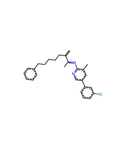 C=C(CCCCCc1ccccc1)/C(C)=N/c1ncc(-c2cccc(Cl)c2)cc1C